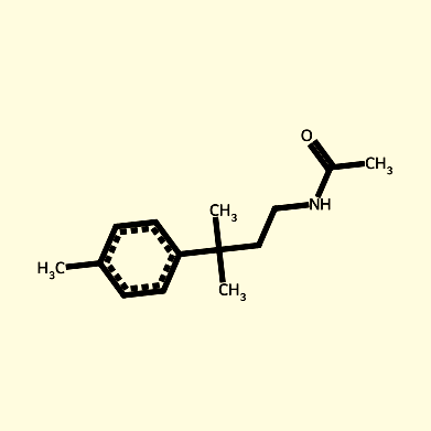 CC(=O)NCCC(C)(C)c1ccc(C)cc1